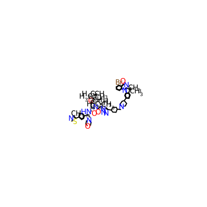 Cc1ncsc1-c1ccc([C@H](CN2CCOCC2)NC(=O)[C@@H]2C[C@@H](O[Si](C)(C)C(C)(C)C)CN2C(=O)[C@@H](n2cc(C3CCC(CN4CCC(c5ccc6c(c5)-n5c(nc(=O)c7c(Br)cccc75)C6(C)C)CC4)CC3)nn2)C(C)(C)C)cc1